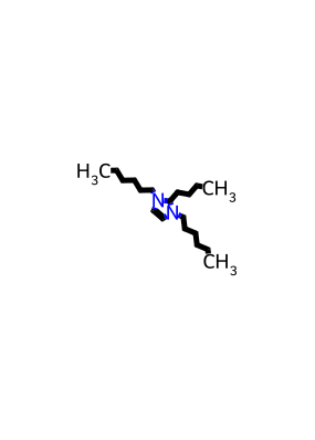 CCCCCCN1C=CN(CCCCCC)C1CCCC